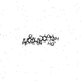 Cc1cc(O[C@@H]2CN[C@H](CO)C2)ccc1-c1noc(-c2cn3cc(C(F)(F)F)cc(Cl)c3n2)n1